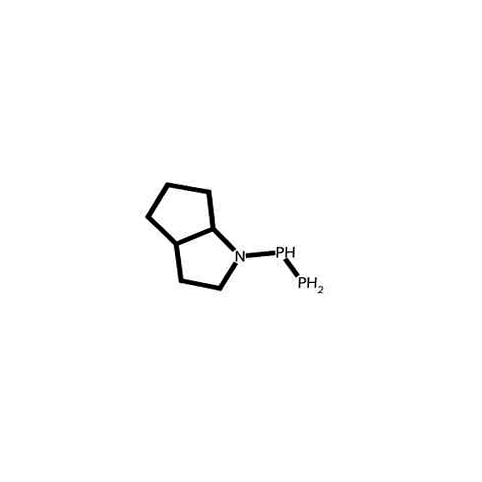 PPN1CCC2CCCC21